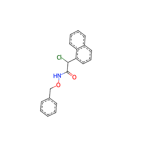 O=C(NOCc1ccccc1)C(Cl)c1cccc2ccccc12